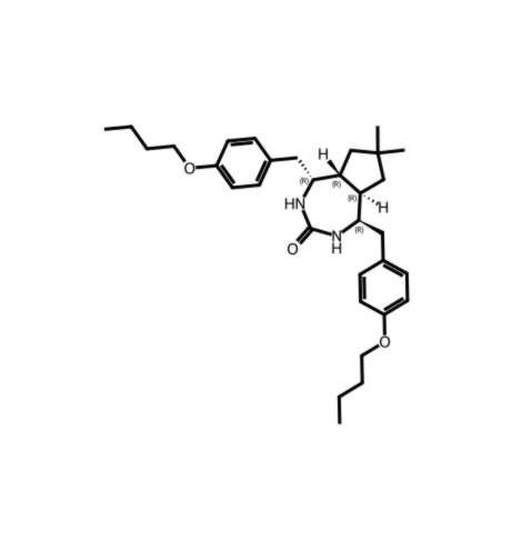 CCCCOc1ccc(C[C@H]2NC(=O)N[C@H](Cc3ccc(OCCCC)cc3)[C@@H]3CC(C)(C)C[C@H]32)cc1